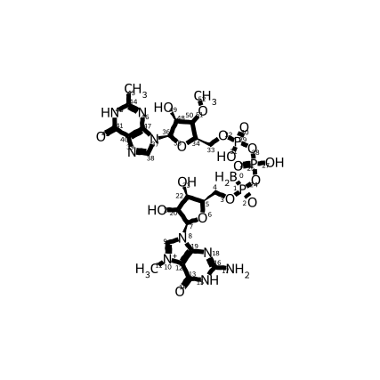 BP(=O)(OC[C@H]1O[C@@H](n2c[n+](C)c3c(=O)[nH]c(N)nc32)C(O)[C@H]1O)OP(=O)(O)OP(=O)(O)OC[C@H]1O[C@@H](n2cnc3c(=O)[nH]c(C)nc32)[C@@H](O)C1OC